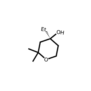 CC[C@]1(O)CCOC(C)(C)C1